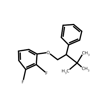 CC(C)(C)C(COc1cccc(F)c1F)c1ccccc1